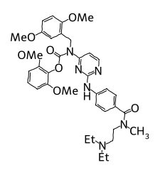 CCN(CC)CCN(C)C(=O)c1ccc(Nc2nccc(N(Cc3cc(OC)ccc3OC)C(=O)Oc3c(OC)cccc3OC)n2)cc1